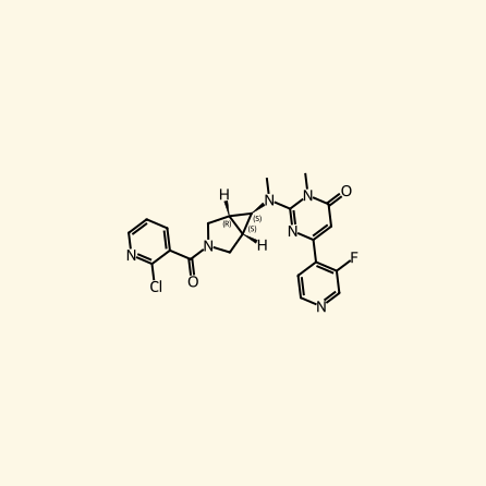 CN(c1nc(-c2ccncc2F)cc(=O)n1C)[C@H]1[C@@H]2CN(C(=O)c3cccnc3Cl)C[C@@H]21